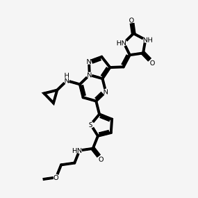 COCCNC(=O)c1ccc(-c2cc(NC3CC3)n3ncc(/C=C4\NC(=O)NC4=O)c3n2)s1